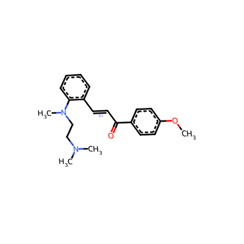 COc1ccc(C(=O)/C=C/c2ccccc2N(C)CCN(C)C)cc1